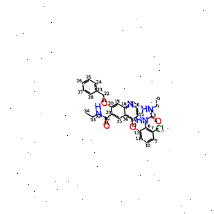 CCNC(=O)Nc1c(Cl)cccc1Oc1ccnc2cc(OCc3ccccc3)c(C(=O)NCC)cc12